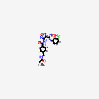 CC(C)(C)CC(=O)NCc1ccc(C(=O)Nc2nonc2C(=NO)Nc2cccc(Cl)c2)cc1